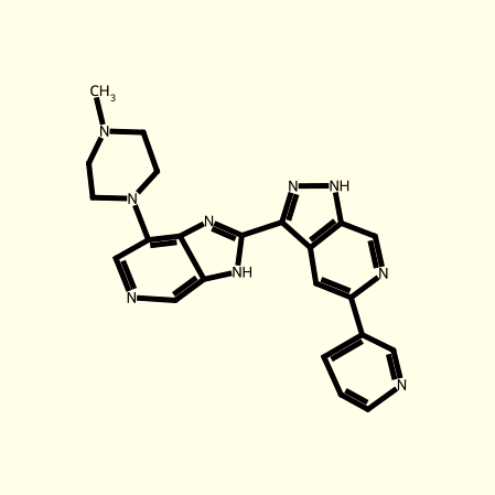 CN1CCN(c2cncc3[nH]c(-c4n[nH]c5cnc(-c6cccnc6)cc45)nc23)CC1